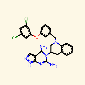 NC1=Nc2[nH]ncc2C(N)N1C1Cc2ccccc2N(Cc2cccc(Oc3cc(Cl)cc(Cl)c3)c2)C1